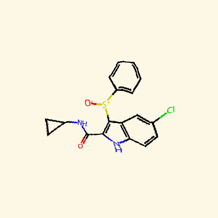 O=C(NC1CC1)c1[nH]c2ccc(Cl)cc2c1[S+]([O-])c1ccccc1